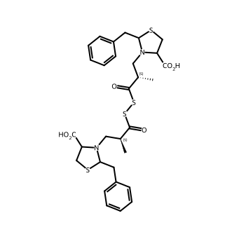 C[C@@H](CN1C(Cc2ccccc2)SCC1C(=O)O)C(=O)SSC(=O)[C@@H](C)CN1C(Cc2ccccc2)SCC1C(=O)O